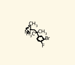 Cn1cnnc1CC(C)(C)c1ccc(F)c(Br)c1